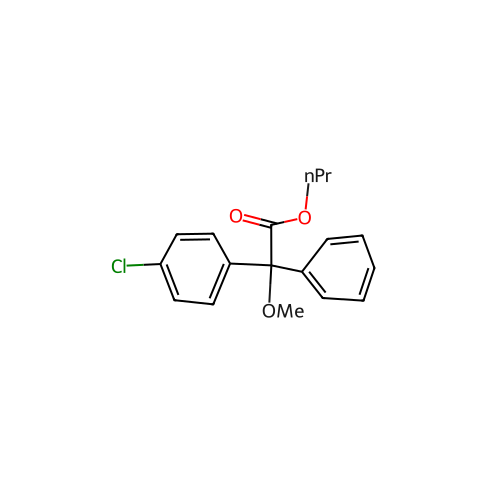 CCCOC(=O)C(OC)(c1ccccc1)c1ccc(Cl)cc1